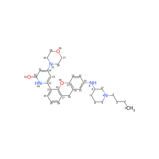 CCCCN1CCCC(Nc2ccc3c(c2)Cc2cccc(-c4cc(N5CCOCC5)cc(=O)[nH]4)c2O3)C1